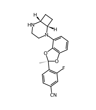 C[C@@]1(c2ccc(C#N)cc2F)Oc2cccc(N3CCN[C@@H]4CC[C@@H]43)c2O1